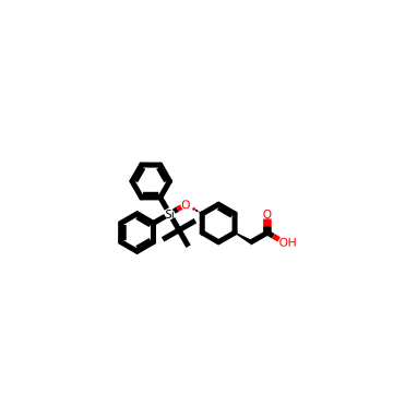 CC(C)(C)[Si](O[C@@H]1C=C[C@@H](CC(=O)O)CC1)(c1ccccc1)c1ccccc1